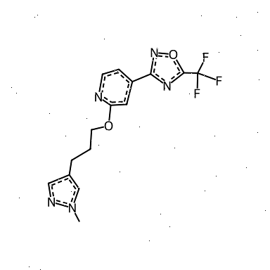 Cn1cc(CCCOc2cc(-c3noc(C(F)(F)F)n3)ccn2)cn1